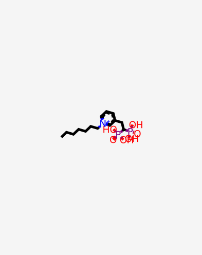 CCCCCCC[n+]1cccc(CC(P(=O)(O)O)P(=O)(O)O)c1